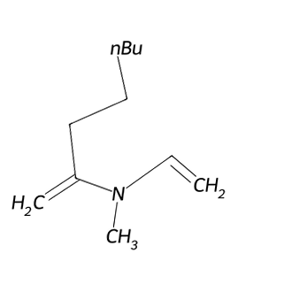 C=CN(C)C(=C)CCCCCC